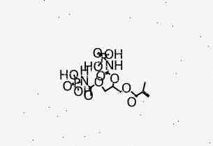 C=C(C)C(=O)OCC(COC(=O)NP(=O)(O)O)OC(=O)NP(=O)(O)O